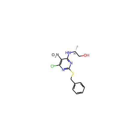 C[C@H](CO)Nc1nc(SCc2ccccc2)nc(Cl)c1[N+](=O)[O-]